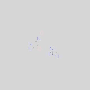 CN/C=C\C(=N)N[C@H]1CC[C@@H](Oc2cc(N3CCOCC3)cc3ncncc23)CC1